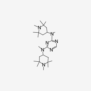 CN(c1ncnc(N(C)C2CC(C)(C)N(C)C(C)(C)C2)n1)C1CC(C)(C)N(C)C(C)(C)C1